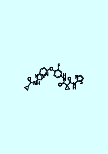 O=C(Nc1cn2nc(Oc3ccc(NC(=O)C4(C(=O)Nc5nccs5)CC4)cc3F)ccc2n1)C1CC1